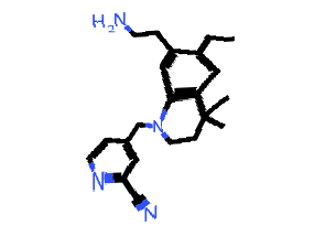 CCc1cc2c(cc1CCN)N(Cc1ccnc(C#N)c1)CCC2(C)C